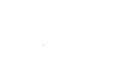 COc1ccc(CC(Cl)(Cl)C(=O)NCl)cc1